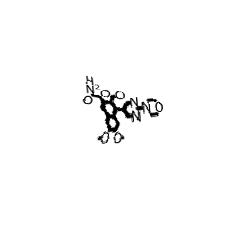 COc1cc2cc3c(c(-c4cnc(N5CCOCC5)nc4)c2cc1OC)C(=O)OC3C(N)=O